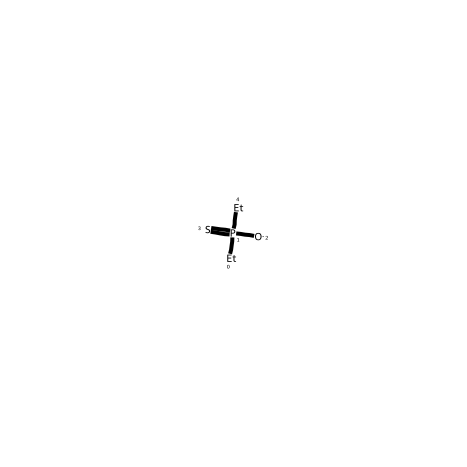 CCP([O])(=S)CC